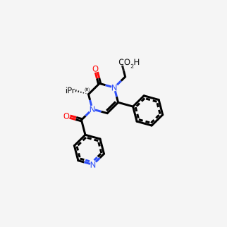 CC(C)[C@@H]1C(=O)N(CC(=O)O)C(c2ccccc2)=CN1C(=O)c1ccncc1